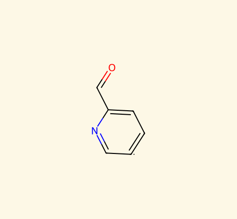 O=Cc1cc[c]cn1